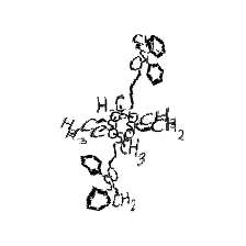 C=C[Si]1(C)O[Si](C)(CCCO[Si](C=C)(c2ccccc2)c2ccccc2)O[Si](C)(C=C)O[Si](C)(CCCO[Si](C=C)(c2ccccc2)c2ccccc2)O1